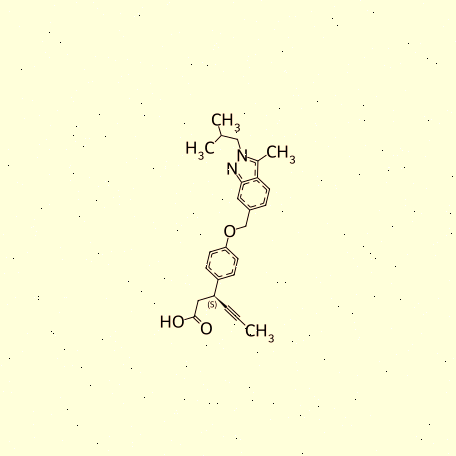 CC#C[C@@H](CC(=O)O)c1ccc(OCc2ccc3c(C)n(CC(C)C)nc3c2)cc1